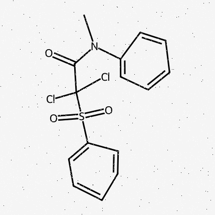 CN(C(=O)C(Cl)(Cl)S(=O)(=O)c1ccccc1)c1ccccc1